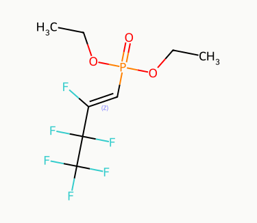 CCOP(=O)(/C=C(\F)C(F)(F)C(F)(F)F)OCC